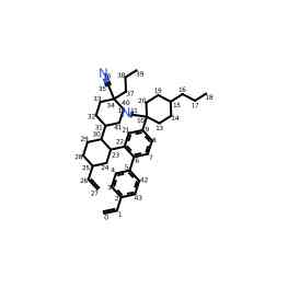 C=Cc1ccc(-c2ccc(C3(C#N)CCC(CCC)CC3)cc2C2CC(C=C)CCC2C2CCC(C#N)(CCC)CC2)cc1